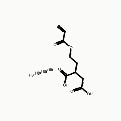 Br.Br.Br.Br.C=CC(=O)OCCC(CC(=O)O)C(=O)O